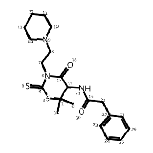 CC1(C)SC(=S)N(CCN2CCCCC2)C(=O)C1NC(=O)Cc1ccccc1